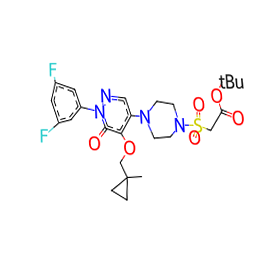 CC1(COc2c(N3CCN(S(=O)(=O)CC(=O)OC(C)(C)C)CC3)cnn(-c3cc(F)cc(F)c3)c2=O)CC1